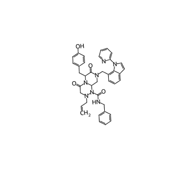 C=CCN1CC(=O)N2C(Cc3ccc(O)cc3)C(=O)N(Cc3cccc4ccn(-c5ccccn5)c34)CC2N1C(=O)NCc1ccccc1